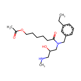 CCc1cccc(CN(CC(O)CNC)C(=O)CCCCCOC(C)=O)c1